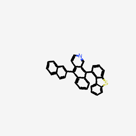 c1ccc2cc(-c3c4ccccc4c(-c4cccc5sc6ccccc6c45)c4cnccc34)ccc2c1